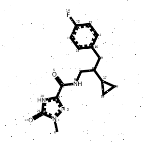 Cn1nc(C(=O)NCC(Cc2ccc(F)cc2)C2CC2)[nH]c1=O